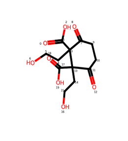 O=C(O)C1(CCO)C(=O)CCC(=O)C1(CCO)C(=O)O